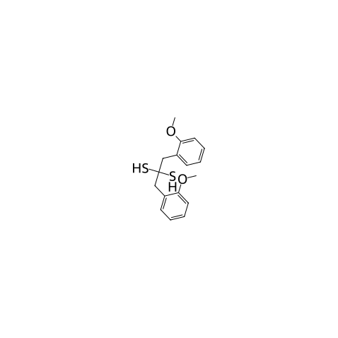 COc1ccccc1CC(S)(S)Cc1ccccc1OC